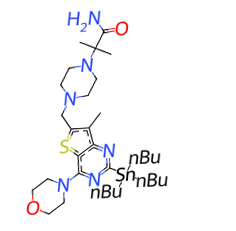 CCC[CH2][Sn]([CH2]CCC)([CH2]CCC)[c]1nc(N2CCOCC2)c2sc(CN3CCN(C(C)(C)C(N)=O)CC3)c(C)c2n1